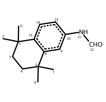 CC1(C)CCC(C)(C)c2cc(N[C]=O)ccc21